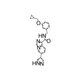 O=C(NCc1cccc(OCC2CC2)c1)c1ncn2cc(-c3cn[nH]c3)ccc12